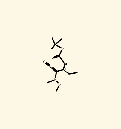 CC[C@H](NC(=O)OC(C)(C)C)C(=C=O)N(C)OC